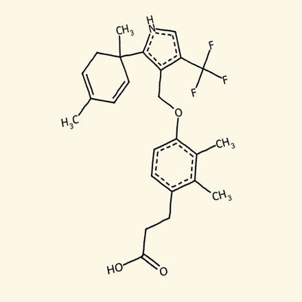 CC1=CCC(C)(c2[nH]cc(C(F)(F)F)c2COc2ccc(CCC(=O)O)c(C)c2C)C=C1